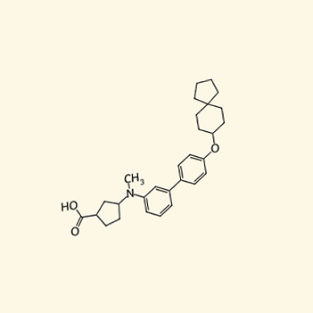 CN(c1cccc(-c2ccc(OC3CCC4(CCCC4)CC3)cc2)c1)C1CCC(C(=O)O)C1